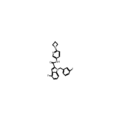 O=C(Nc1ccc(N2CCC2)nc1)c1cc2c(F)cccc2n1Cc1cccc(F)c1